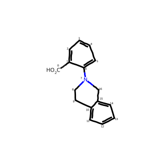 O=C(O)c1ccccc1N1CCc2ccccc2C1